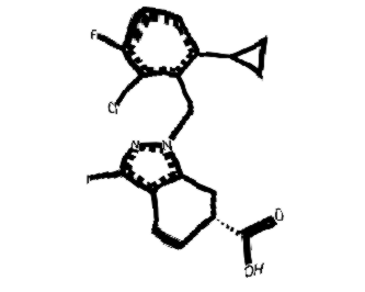 O=C(O)[C@@H]1CCc2c(I)nn(Cc3c(C4CC4)ccc(F)c3Cl)c2C1